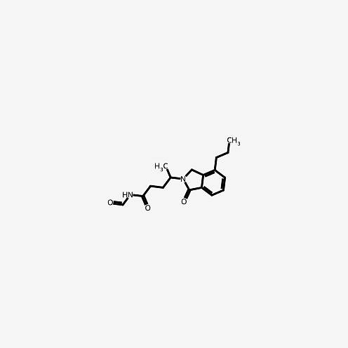 CCCc1cccc2c1CN(C(C)CCC(=O)NC=O)C2=O